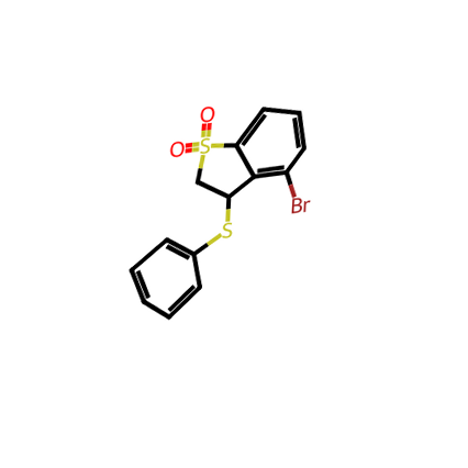 O=S1(=O)CC(Sc2ccccc2)c2c(Br)cccc21